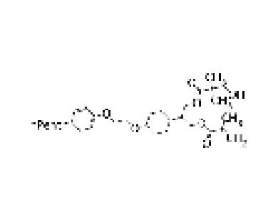 C=C(C)C(=O)OCC(COC(=O)C(C)(C)CO)C1CCC(OCCOc2ccc(CCCCC)cc2)CC1